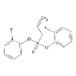 C=CCP(=O)(Oc1ccccc1F)Oc1ccccc1F